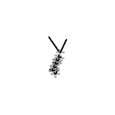 CCCCCCCCCCCCC/C=C/[C@@H](O)[C@H](CO[C@@H]1OC(CO)[C@@H](O[C@@H]2OC(CO)[C@H](O[C@@H]3OC(CO)[C@H](O)[C@H](O[C@@H]4OC(CO)[C@H](O)[C@H](O[C@@H]5OC(CO)[C@@H](O[C@@H]6OC(CO)[C@H](O)[C@H](O)C6O)[C@H](O)C5NC(C)=O)C4O)C3NC(C)=O)[C@H](O)C2O)[C@H](O)C1O)NC(=O)CCCCCCCCCCCCCCCCCCC